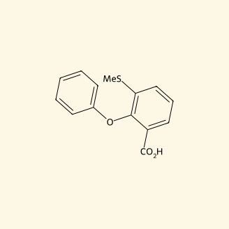 CSc1cccc(C(=O)O)c1Oc1ccccc1